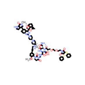 COc1ccc(C#CCNC2(C)CCN(C3CCN(c4nc([C@@](CO)(OC5CC5)c5ccccc5)c5cc(-c6cn(C)c(=O)c7[nH]ccc67)ccc5n4)CC3)CC2)cc1N1CCC(=O)N(CNC(=O)[C@H](CC(=O)O)NC(=O)[C@H](CC(N)=O)NC(=O)CCOCCOCCN2C(=O)C(Sc3ccccc3)=C(Sc3ccccc3)C2=O)C1=O